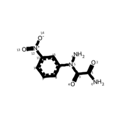 NC(=O)C(=O)N(N)c1cccc([N+](=O)[O-])c1